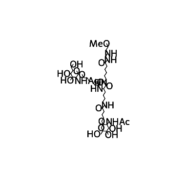 COCCNCNC(=O)CCCCCNC(=O)C(CCCCNC(=O)CCCOC1OC(CO)C(O)C(O)C1NC(C)=O)NC(=O)CCCCCOC1OC(CO)C(O)C(O)C1NC(C)=O